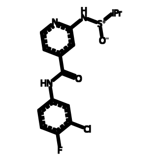 CC(C)[S+]([O-])Nc1cc(C(=O)Nc2ccc(F)c(Cl)c2)ccn1